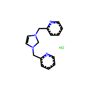 C1=CN(Cc2ccccn2)CN1Cc1ccccn1.Cl